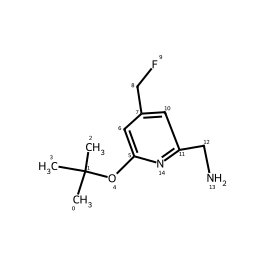 CC(C)(C)Oc1cc(CF)cc(CN)n1